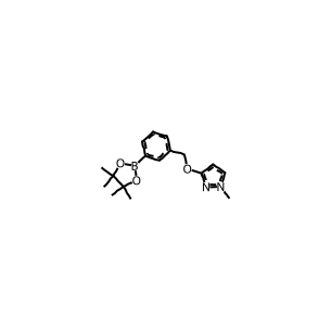 Cn1ccc(OCc2cccc(B3OC(C)(C)C(C)(C)O3)c2)n1